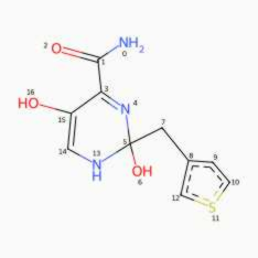 NC(=O)C1=NC(O)(Cc2ccsc2)NC=C1O